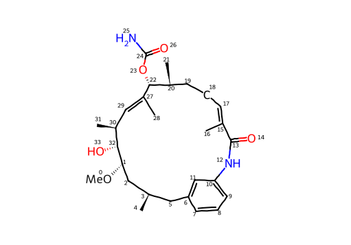 CO[C@H]1C[C@H](C)Cc2cccc(c2)NC(=O)/C(C)=C/CC[C@H](C)[C@@H](OC(N)=O)/C(C)=C/[C@H](C)[C@H]1O